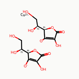 O=C1O[C@H]([C@@H](O)CO)C([O-])=C1O.O=C1O[C@H]([C@@H](O)CO)C([O-])=C1O.[Cu+2]